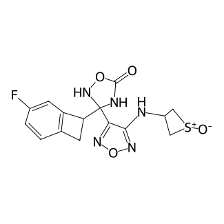 O=C1NC(c2nonc2NC2C[S+]([O-])C2)(C2Cc3ccc(F)cc32)NO1